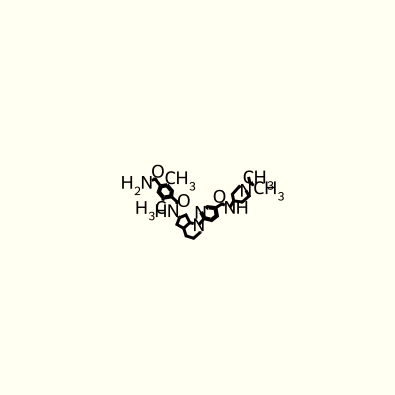 Cc1cc(C(=O)NC2CC3CCCN(c4ccc(C(=O)NC5CCN(C(C)C)CC5)cn4)C3C2)c(C)cc1C(N)=O